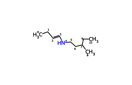 CCC=CNCCC(C)CC